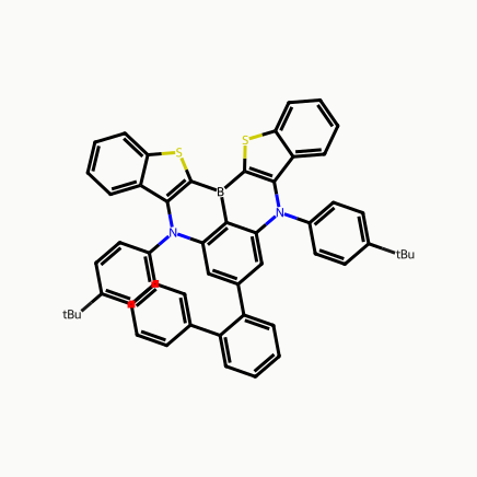 CC(C)(C)c1ccc(N2c3cc(-c4ccccc4-c4ccccc4)cc4c3B(c3sc5ccccc5c32)c2sc3ccccc3c2N4c2ccc(C(C)(C)C)cc2)cc1